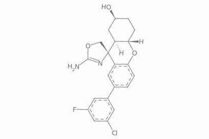 NC1=N[C@@]2(CO1)c1cc(-c3cc(F)cc(Cl)c3)ccc1O[C@H]1CC[C@H](O)C[C@@H]12